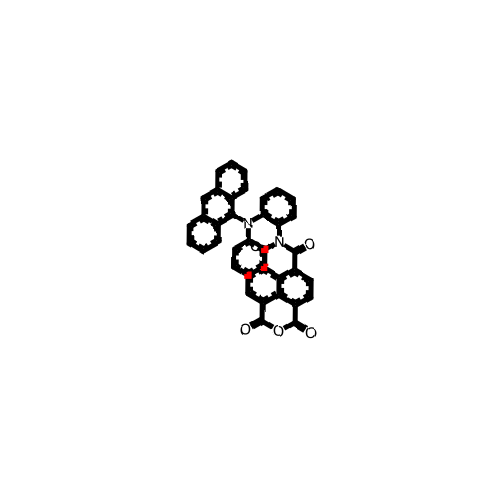 O=C1OC(=O)c2ccc3c4c(ccc1c24)C(=O)N(c1ccccc1N(c1ccccc1)c1c2ccccc2cc2ccccc12)C3=O